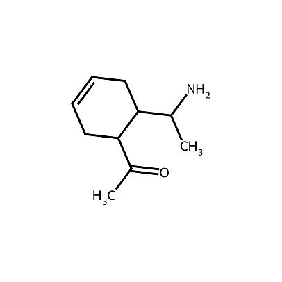 CC(=O)C1CC=CCC1C(C)N